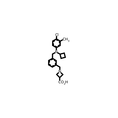 Cc1cc(N(Cc2cccc(CN3CC(C(=O)O)C3)c2)C2CCC2)ccc1Cl